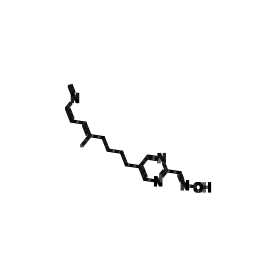 C=N/C=C\C=C(/C)CCCCc1cnc(/C=N/O)nc1